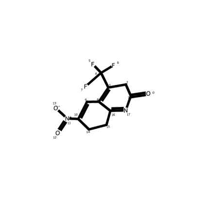 O=C1CC(C(F)(F)F)=C2C=C([N+](=O)[O-])CCC2=N1